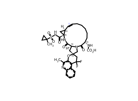 Cc1nc2ccccc2c2c1O[C@@]1(C[C@H]3C(=O)N[C@]4(C(=O)NS(=O)(=O)C5(C)CC5)C[C@H]4/C=C\CCCCC[C@H](NC(=O)O)C(=O)N3C1)CC2(F)F